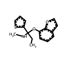 CCC(NC)(Oc1cccc2ccoc12)c1cccs1